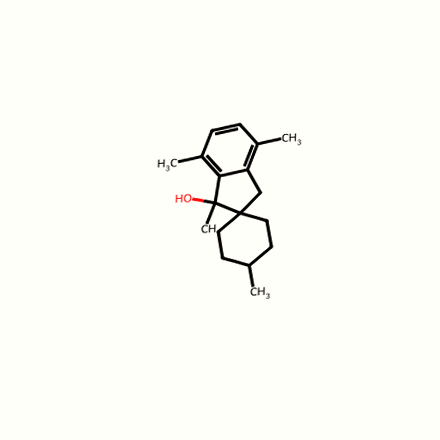 Cc1ccc(C)c2c1CC1(CCC(C)CC1)C2(C)O